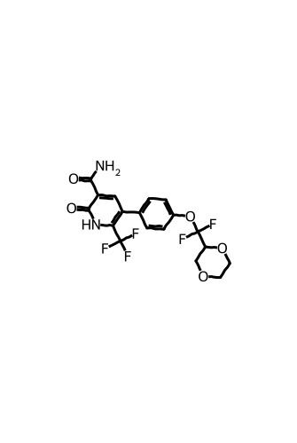 NC(=O)c1cc(-c2ccc(OC(F)(F)C3COCCO3)cc2)c(C(F)(F)F)[nH]c1=O